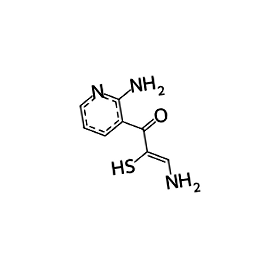 N/C=C(\S)C(=O)c1cccnc1N